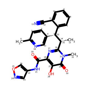 Cc1ccc([C@H](c2ccccc2C#N)[C@H](C)c2nc(C(=O)Nc3cnoc3)c(O)c(=O)n2C)cn1